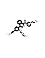 CC#Cc1ccc(-c2nnc(N[C@@H]3CCCN(CCO)C3)c3ccccc23)c(OCOCC)c1